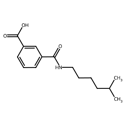 CC(C)CCCCNC(=O)c1cccc(C(=O)O)c1